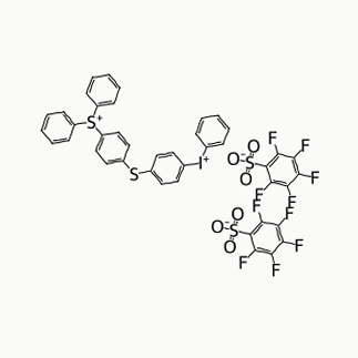 O=S(=O)([O-])c1c(F)c(F)c(F)c(F)c1F.O=S(=O)([O-])c1c(F)c(F)c(F)c(F)c1F.c1ccc([I+]c2ccc(Sc3ccc([S+](c4ccccc4)c4ccccc4)cc3)cc2)cc1